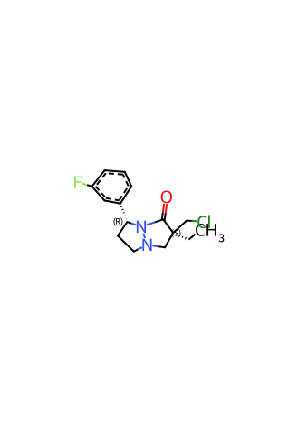 CC[C@]1(CCl)CN2CC[C@H](c3cccc(F)c3)N2C1=O